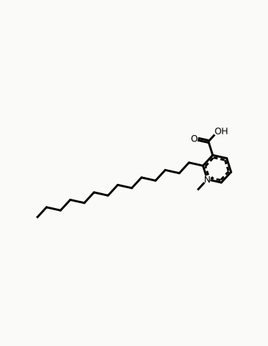 CCCCCCCCCCCCCCc1c(C(=O)O)ccc[n+]1C